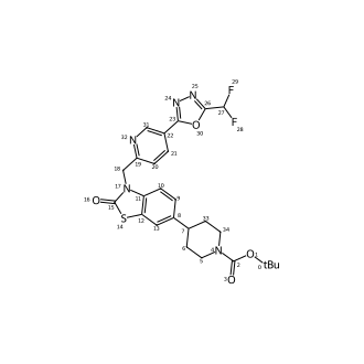 CC(C)(C)OC(=O)N1CCC(c2ccc3c(c2)sc(=O)n3Cc2ccc(-c3nnc(C(F)F)o3)cn2)CC1